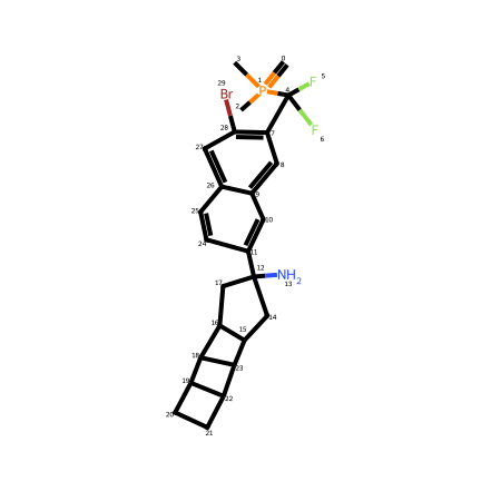 C=P(C)(C)C(F)(F)c1cc2cc(C3(N)CC4C(C3)C3C5CCC5C43)ccc2cc1Br